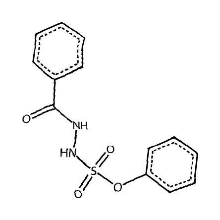 O=C(NNS(=O)(=O)Oc1ccccc1)c1ccccc1